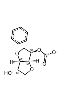 O=[N+]([O-])O[C@@H]1CO[C@H]2[C@@H]1OC[C@@H]2O.c1ccccc1